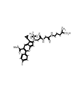 CNC(=O)c1cc2c(C3CC3)c(N(CC(=O)NCC(=O)NCCCC(C)C(=O)O)S(C)(=O)=O)cc-2oc1-c1ccc(F)cc1